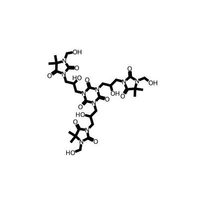 CC1(C)C(=O)N(CC(O)Cn2c(=O)n(CC(O)CN3C(=O)N(CO)C(C)(C)C3=O)c(=O)n(CC(O)CN3C(=O)N(CO)C(C)(C)C3=O)c2=O)C(=O)N1CO